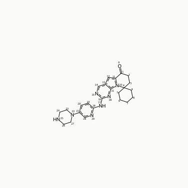 O=C1CCC2(CCCCC2)n2c1cc1cnc(Nc3ccc(N4CCNCC4)cn3)nc12